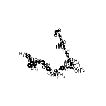 Cc1cccc2c(OC(=O)N3CCN(C)CC3)cc3c(c12)[C@H](CCl)CN3C(O)c1cn2cc(NC(=O)c3ccc(OC(=O)N(C)CCN(C)C(=O)OCc4ccc(NC(=O)[C@H](CCCNC(N)O)NC(=O)[C@@H](NC(=O)OCCOCCN/C=C(/CNC(=O)OCCOCCN5C(=O)C=CC5=O)N=N)C(C)C)cc4)cc3)ccc2n1